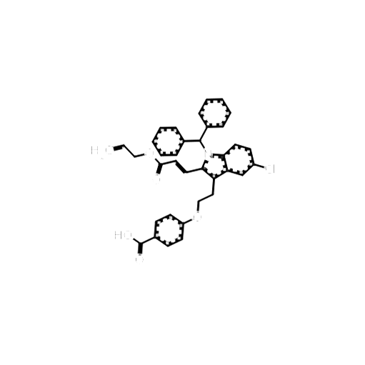 C=CCOC(=O)C=Cc1c(CCOc2ccc(C(=O)O)cc2)c2cc(Cl)ccc2n1C(c1ccccc1)c1ccccc1